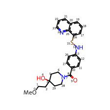 COCCC1(O)CCN(C(=O)c2ccc(NSc3cccc4cccnc34)cc2)CC1